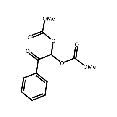 COC(=O)OC(OC(=O)OC)C(=O)c1ccccc1